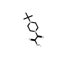 CC(C)(C)N1CCN(C(=O)C(N)=O)CC1